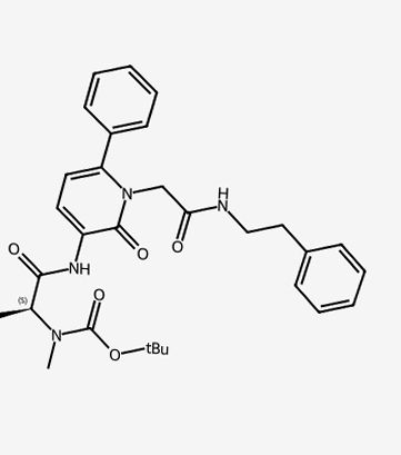 C[C@@H](C(=O)Nc1ccc(-c2ccccc2)n(CC(=O)NCCc2ccccc2)c1=O)N(C)C(=O)OC(C)(C)C